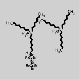 CCCCCCCC[N+](C)(CCCCCCCC)CCCCCCCC.CCCCCCCC[N+](C)(CCCCCCCC)CCCCCCCC.[Br][Co-]([Br])([Br])[Br].[Br][Co-]([Br])([Br])[Br]